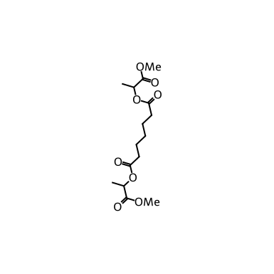 COC(=O)C(C)OC(=O)CCCCCC(=O)OC(C)C(=O)OC